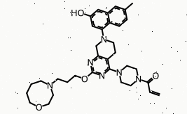 C=CC(=O)N1CCN(c2nc(OCCCN3CCCCOCC3)nc3c2CCN(c2cc(O)cc4cc(C)ccc24)C3)CC1